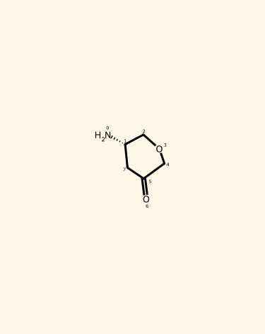 N[C@@H]1COCC(=O)C1